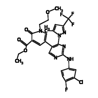 CCOC(=O)c1cc(-c2cnc(Nc3ccc(F)c(Cl)c3)nc2-n2nc(C(F)(F)F)cc2C)cn(CCOC)c1=O